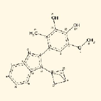 COc1cc(-c2nc3ccccc3n2C23CC(C2)C3)c(C)c(O)c1O